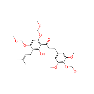 COCOc1cc(OCOC)c(C(=O)C=Cc2cc(OC)c(OCOC)c(OC)c2)c(O)c1CC=C(C)C